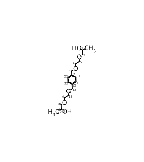 CC(O)COCCOCc1ccc(COCCOCC(C)O)cc1